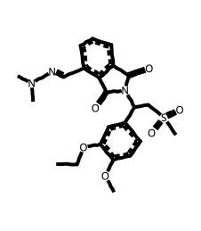 CCOc1cc(C(CS(C)(=O)=O)N2C(=O)c3cccc(C=NN(C)C)c3C2=O)ccc1OC